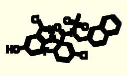 CS(=O)(=O)N(Cc1ccc2ccccc2c1)C(=O)C1(n2nc(Cl)c3cc(O)ccc32)C=C(Cl)C=CC1F